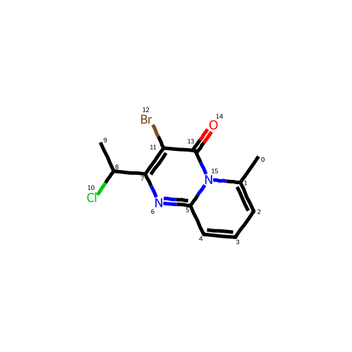 Cc1cccc2nc(C(C)Cl)c(Br)c(=O)n12